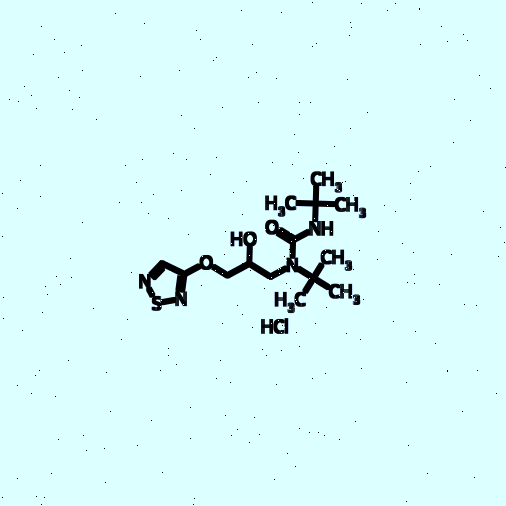 CC(C)(C)NC(=O)N(CC(O)COc1cnsn1)C(C)(C)C.Cl